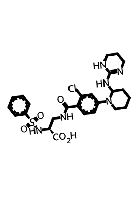 O=C(NC[C@H](NS(=O)(=O)c1ccccc1)C(=O)O)c1ccc(N2CCCCC2NC2=NCCCN2)cc1Cl